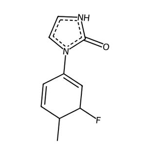 CC1C=CC(n2cc[nH]c2=O)=CC1F